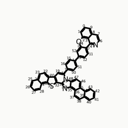 c1cc2c3c(nccc3c1)-c1ccc(-c3ccc(-c4cc5c6ccc7ccccc7c6sc5c5nc6c7ccc8ccccc8c7ccc6n45)cc3)cc1O2